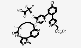 CCOC(=O)Cn1cc(-c2ccc(Cl)cc2-c2cc(=O)n([C@H]3CCC[C@@H](C)C(=O)Nc4cnn(C)c4-c4ccnc3c4)cn2)cn1.O=C(O)C(F)(F)F